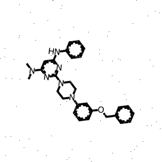 CN(C)c1cc(Nc2ccccc2)nc(N2CCN(c3cccc(OCc4ccccc4)c3)CC2)n1